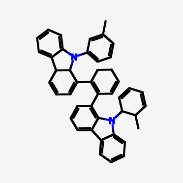 Cc1cccc(N2c3ccccc3C3C=CC=C(C4=C(c5cccc6c7ccccc7n(C7C=CC=CC7C)c56)C=CCC4)C32)c1